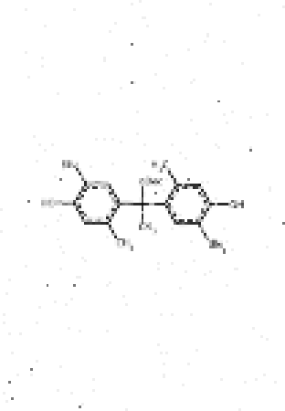 CCCCCCCC[CH]CC(C)(c1cc(C(C)(C)C)c(O)cc1C)c1cc(C(C)(C)C)c(O)cc1C